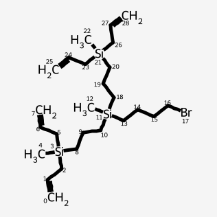 C=CC[Si](C)(CC=C)CCC[Si](C)(CCCCBr)CCC[Si](C)(CC=C)CC=C